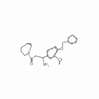 COc1cc(C(N)CC(=O)N2CCCCC2)ccc1OCc1ccccc1